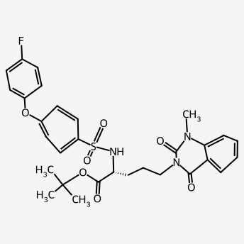 Cn1c(=O)n(CCC[C@@H](NS(=O)(=O)c2ccc(Oc3ccc(F)cc3)cc2)C(=O)OC(C)(C)C)c(=O)c2ccccc21